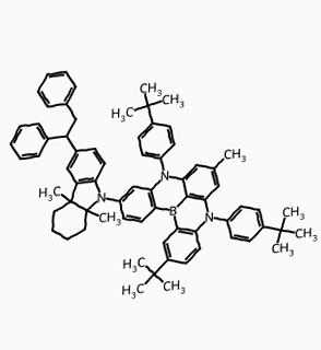 Cc1cc2c3c(c1)N(c1ccc(C(C)(C)C)cc1)c1cc(N4c5ccc(C(Cc6ccccc6)c6ccccc6)cc5C5(C)CCCCC45C)ccc1B3c1cc(C(C)(C)C)ccc1N2c1ccc(C(C)(C)C)cc1